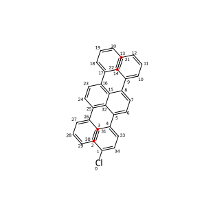 Clc1ccc(-c2ccc(-c3ccccc3)c3c(-c4ccccc4)ccc(-c4ccccc4)c23)cc1